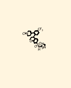 O=S(=O)(Nc1ncns1)c1ccc2c(c1)OCCC2c1ccc(C(F)(F)F)cc1C1=CCN(Cl)CC1